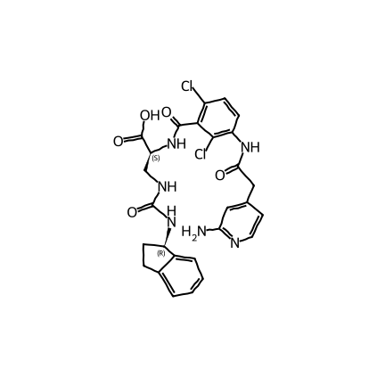 Nc1cc(CC(=O)Nc2ccc(Cl)c(C(=O)N[C@@H](CNC(=O)N[C@@H]3CCc4ccccc43)C(=O)O)c2Cl)ccn1